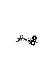 CN(C(=O)OCCOC(=O)C1COC1)[C@]1(c2ccccc2Cl)CCCCC1=O